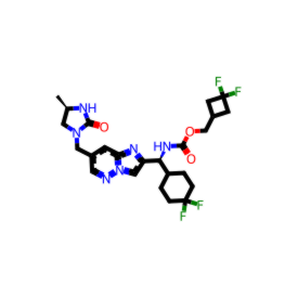 C[C@@H]1CN(Cc2cnn3cc([C@@H](NC(=O)OCC4CC(F)(F)C4)C4CCC(F)(F)CC4)nc3c2)C(=O)N1